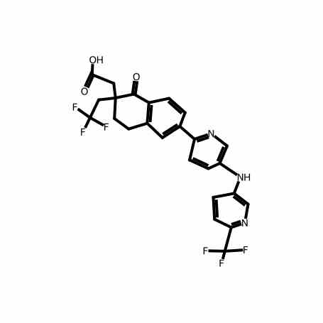 O=C(O)CC1(CC(F)(F)F)CCc2cc(-c3ccc(Nc4ccc(C(F)(F)F)nc4)cn3)ccc2C1=O